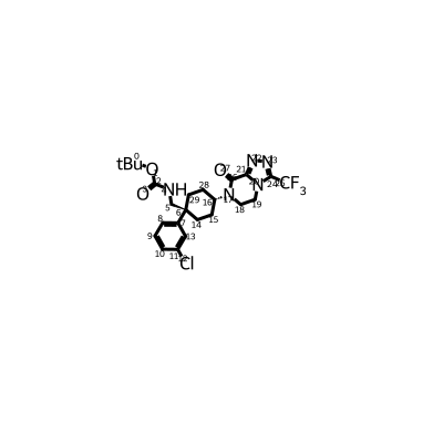 CC(C)(C)OC(=O)NC[C@]1(c2cccc(Cl)c2)CC[C@@H](N2CCn3c(nnc3C(F)(F)F)C2=O)CC1